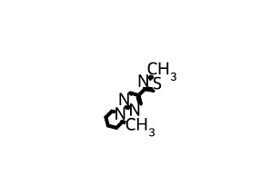 Cc1nc(-c2cnc(N3CCCCC3C)nc2)cs1